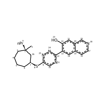 CCC[C@]1(C)CCCC[C@H](Sc2cnc(-c3cc4ccncc4cc3O)nn2)C1